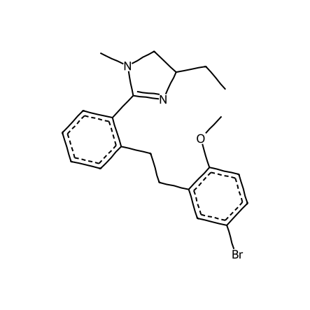 CCC1CN(C)C(c2ccccc2CCc2cc(Br)ccc2OC)=N1